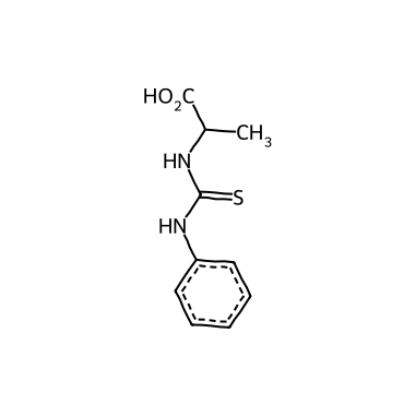 CC(NC(=S)Nc1ccccc1)C(=O)O